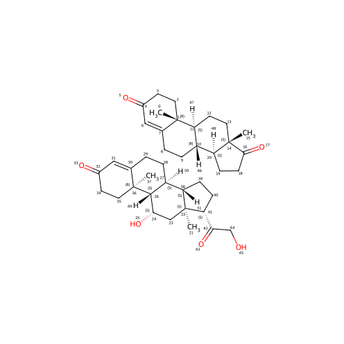 C[C@]12CCC(=O)C=C1CC[C@@H]1[C@@H]2CC[C@]2(C)C(=O)CC[C@@H]12.C[C@]12C[C@H](O)[C@H]3[C@@H](CCC4=CC(=O)CC[C@@]43C)[C@@H]1CC[C@@H]2C(=O)CO